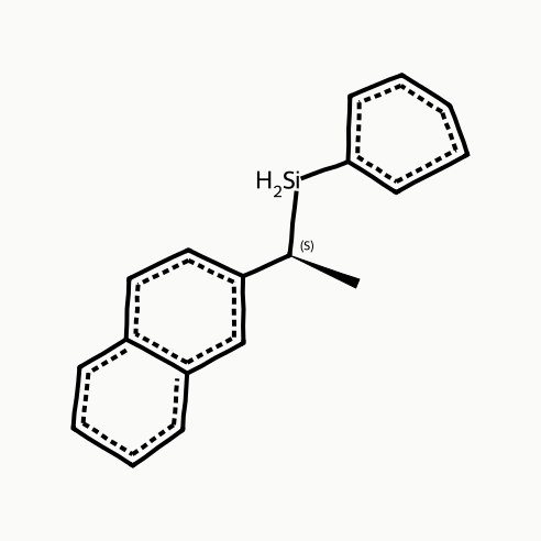 C[C@H]([SiH2]c1ccccc1)c1ccc2ccccc2c1